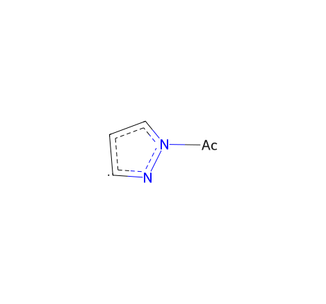 CC(=O)n1cc[c]n1